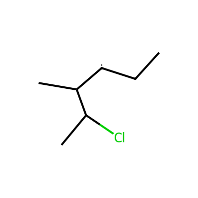 CC[CH]C(C)C(C)Cl